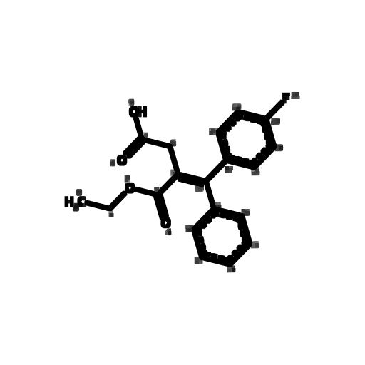 CCOC(=O)C(CC(=O)O)=C(c1ccccc1)c1ccc(F)cc1